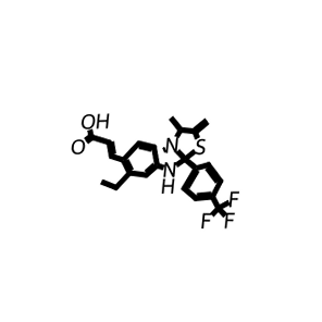 C=C1SC(Nc2ccc(/C=C/C(=O)O)c(CC)c2)(c2ccc(C(F)(F)F)cc2)N(C)C1C